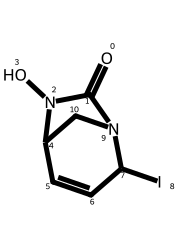 O=C1N(O)C2C=CC(I)N1C2